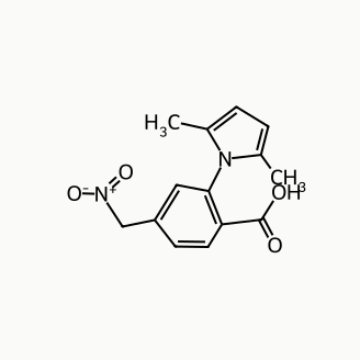 Cc1ccc(C)n1-c1cc(C[N+](=O)[O-])ccc1C(=O)O